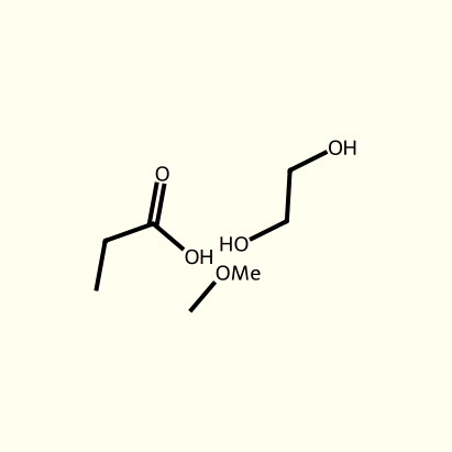 CCC(=O)O.COC.OCCO